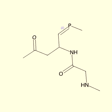 CNCC(=O)NC(/C=P\C)CC(C)=O